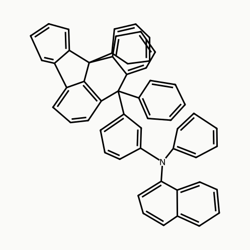 C1=CCC(C23c4ccccc4-c4cccc(c42)C(c2ccccc2)(c2cccc(N(c4ccccc4)c4cccc5ccccc45)c2)c2ccccc23)C=C1